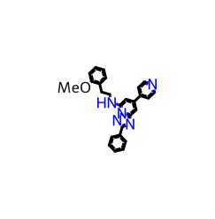 COc1ccccc1CCNc1cc(-c2ccncc2)cc2nc(-c3ccccc3)nn12